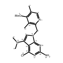 COc1c(C)cnc(Cn2cc(N(C)C)c3c(Cl)nc(N)nc32)c1C